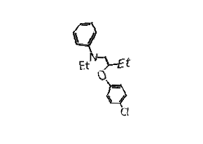 CCC(CN(CC)c1ccccc1)Oc1ccc(Cl)cc1